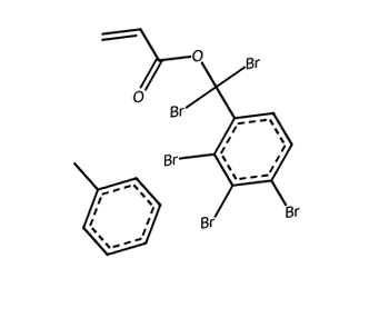 C=CC(=O)OC(Br)(Br)c1ccc(Br)c(Br)c1Br.Cc1ccccc1